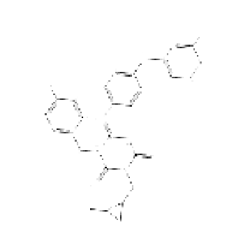 O=C(O)C1CC1Cn1c(=O)[nH]/c(=N\c2ccc(OC3=CCCC(F)=N3)cc2)n(Cc2ccc(Cl)cc2)c1=O